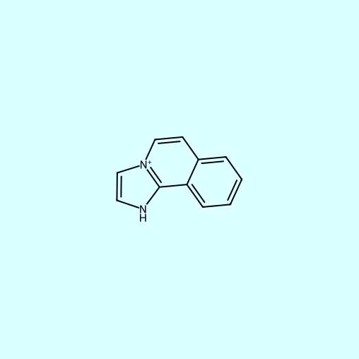 c1ccc2c(c1)cc[n+]1cc[nH]c21